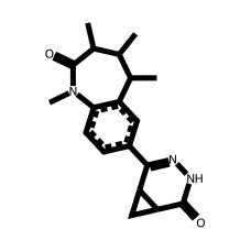 CC1C(=O)N(C)c2ccc(C3=NNC(=O)C4CC34)cc2C(C)C1C